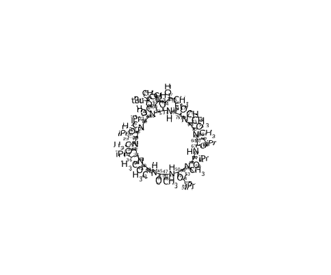 CC[C@@H]1NC(=O)[C@H]([C@H](O[Si](C)(C)C(C)(C)C)[C@H](C)CC(C)O)N(C)C(=O)[C@@H](C(C)C)N(C)C(=O)[C@@H](CC(C)C)N(C)C(=O)C(CC(C)C)N(C)C(=O)[C@@H](C)NC(=O)[C@@H](C)NC(=O)[C@@H](CCC(C)C)N(C)C(=O)[C@@H](C(C)C)NC(=O)[C@H](CC(C)C)N(C)C(=O)[C@@H](C)N(C)C1=O